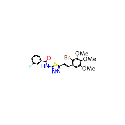 COc1cc(C=Cc2nnc(NC(=O)c3cccc(F)c3)s2)c(Br)c(OC)c1OC